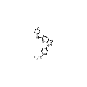 COc1ccc(-n2nnc3cnc(N[C@H]4CCOC4)nc32)cc1